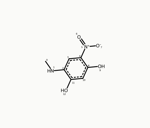 CNc1cc([N+](=O)[O-])c(O)cc1O